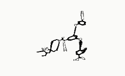 CCC(CC)CC1(O)CCN(C(=O)Nc2cc(Oc3ccc(C(=O)O)cc3)cc(Oc3cccc(Cl)c3)c2)CC1